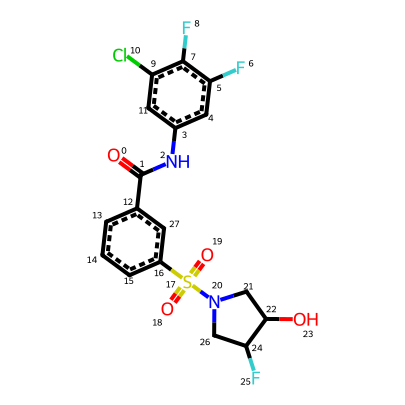 O=C(Nc1cc(F)c(F)c(Cl)c1)c1cccc(S(=O)(=O)N2CC(O)C(F)C2)c1